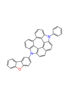 c1ccc(-n2c3cccc4c3c3c5c(ccc32)ccc2c5c3c-4cccc3n2-c2ccc3oc4ccccc4c3c2)cc1